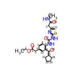 CCOC(=O)Cc1ccc(NC(=O)Nc2nc(CC(=O)NC)cs2)c(C(=O)C2CCCC2)c1